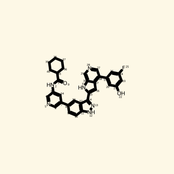 O=C(Nc1cncc(-c2ccc3[nH]nc(-c4cc5c(-c6cc(O)cc(F)c6)cncc5[nH]4)c3c2)c1)C1CCCCC1